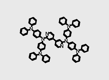 c1ccc(N(c2ccccc2)c2ccc(N(c3ccc(N(c4ccccc4)c4ccccc4)cc3)c3cc(-c4ccnc(N(c5ccc(N(c6ccccc6)c6ccccc6)cc5)c5ccc(N(c6ccccc6)c6ccccc6)cc5)c4)ccn3)cc2)cc1